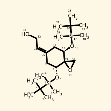 CC(C)(C)[Si](C)(C)O[C@@H]1CC(=CCO)C[C@@H](O[Si](C)(C)C(C)(C)C)C12CO2